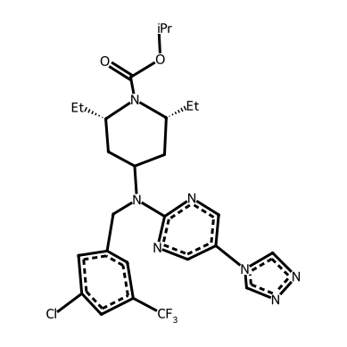 CC[C@@H]1CC(N(Cc2cc(Cl)cc(C(F)(F)F)c2)c2ncc(-n3cnnc3)cn2)C[C@H](CC)N1C(=O)OC(C)C